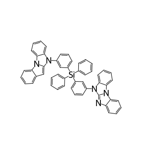 c1ccc([Si](c2ccccc2)(c2cccc(-n3c4ccccc4n4c5ccccc5cc34)c2)c2cccc(-n3c4ccccc4n4c5ccccc5nc34)c2)cc1